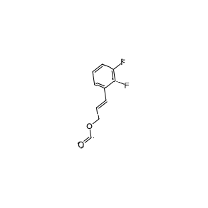 O=[C]OC/C=C/c1cccc(F)c1F